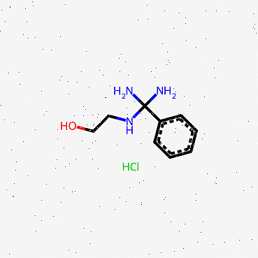 Cl.NC(N)(NCCO)c1ccccc1